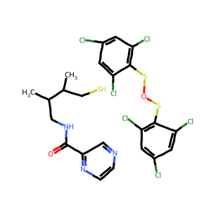 CC(CS)C(C)CNC(=O)c1cnccn1.Clc1cc(Cl)c(SOSc2c(Cl)cc(Cl)cc2Cl)c(Cl)c1